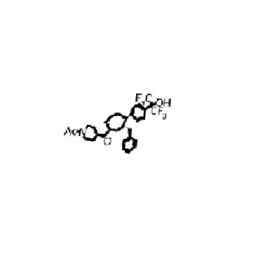 CC(=O)N1CCC(C(=O)C2CCC[C@@H](c3ccc(C(O)(C(F)(F)F)C(F)(F)F)cc3)[C@H](Cc3ccccc3)C2)CC1